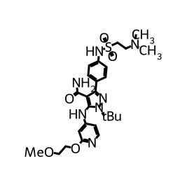 COCCOc1cc(Nc2c(C(N)=O)c(-c3ccc(NS(=O)(=O)CCN(C)C)cc3)nn2C(C)(C)C)ccn1